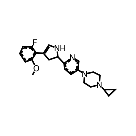 COc1cccc(F)c1C1=CNC(c2ccc(N3CCN(C4CC4)CC3)cn2)C1